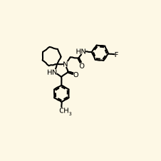 Cc1ccc(C2NC3(CCCCCC3)N(CC(=O)Nc3ccc(F)cc3)C2=O)cc1